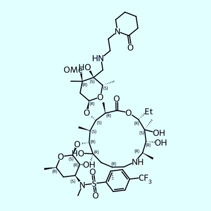 CC[C@H]1OC(=O)[C@H](C)[C@@H](O[C@H]2C[C@@](C)(OC)[C@](O)(CNCCN3CCCCC3=O)[C@H](C)O2)[C@H](C)[C@@H](O[C@@H]2O[C@H](C)C[C@H](N(C)S(=O)(=O)c3ccc(C(F)(F)F)cc3)[C@H]2O)[C@](C)(O)C[C@@H](C)CN[C@H](C)[C@@H](O)[C@]1(C)O